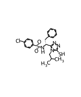 CC(C)Cn1c(S)nnc1[C@@H](Cc1ccccc1)NS(=O)(=O)c1ccc(Cl)cc1